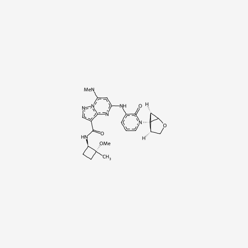 CNc1cc(Nc2cccn([C@]34C5OC[C@@H]3[C@H]54)c2=O)nc2c(C(=O)N[C@@H]3CC[C@@]3(C)OC)cnn12